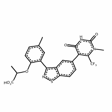 Cc1ccc(OC(C)C(=O)O)c(-c2nsc3ccc(-c4c(C(F)(F)F)n(C)c(=O)[nH]c4=O)cc23)c1